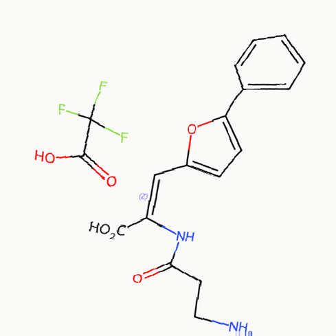 NCCC(=O)N/C(=C\c1ccc(-c2ccccc2)o1)C(=O)O.O=C(O)C(F)(F)F